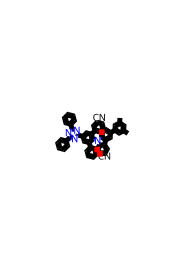 Cc1cc(C)cc(-c2ccc3c(c2)c2ccccc2n3-c2c(-c3cccc(C#N)c3)cc(-c3nc(-c4ccccc4)nc(-c4ccccc4)n3)cc2-c2cccc(C#N)c2)c1